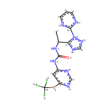 CC(NC(=O)Nc1cc(SC(F)(F)F)ncn1)c1ncnn1-c1ncccn1